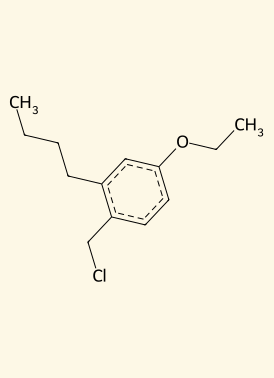 CCCCc1cc(OCC)ccc1CCl